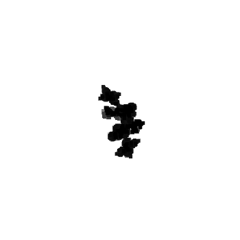 Cc1ccc([Si](c2ccc(C)cc2)(c2ccc(C)cc2)c2ccc(-c3ccc(N(c4cc(C(C)C)c5ccc6c(N(c7ccc(-c8ccc([Si](c9ccc(C)cc9)(c9ccc(C)cc9)c9ccc(C)cc9)cc8)cc7C#N)c7cccc8c7oc7ccccc78)cc(C(C)C)c7ccc4c5c76)c4cccc5c4oc4ccccc45)c(C#N)c3)cc2)cc1